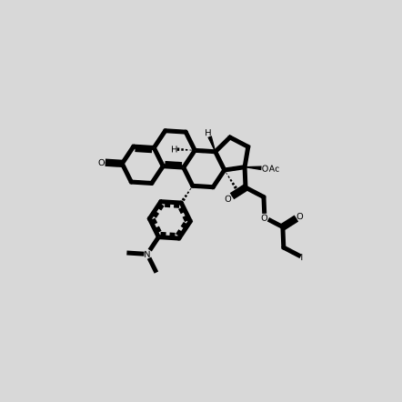 CC(=O)O[C@]1(C(=O)COC(=O)CI)CC[C@H]2[C@@H]3CCC4=CC(=O)CCC4=C3[C@@H](c3ccc(N(C)C)cc3)C[C@@]21C